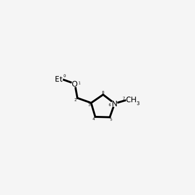 CCOCC1CCN(C)C1